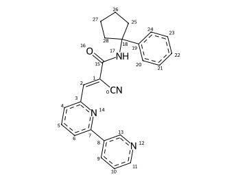 N#C/C(=C\c1cccc(-c2cccnc2)n1)C(=O)NC1(c2ccccc2)CCCC1